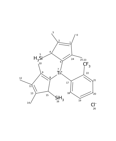 CC1=C(C)C([SiH3])[C]([Ti+]([C]2=C(C)C(C)=C(C)C2[SiH3])[c]2ccccc2C(F)(F)F)=C1C.[Cl-]